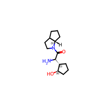 NC(C(=O)N1CCC2CCC[C@@H]21)[C@@H]1CCC[C@H]1O